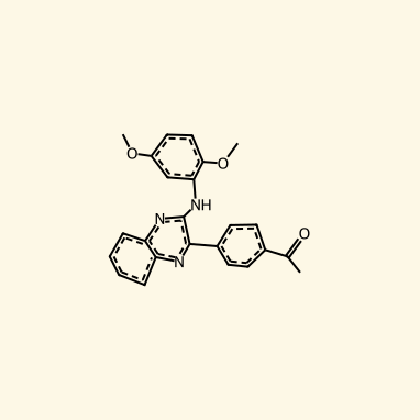 COc1ccc(OC)c(Nc2nc3ccccc3nc2-c2ccc(C(C)=O)cc2)c1